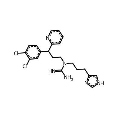 N=C(N)N(CCCc1c[nH]cn1)CCC(c1ccc(Cl)c(Cl)c1)c1ccccn1